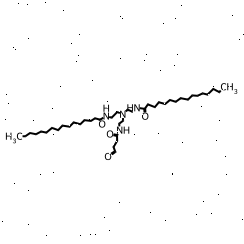 CCCCCCCCCCCCCCCC(=O)NCCN(CCNC(=O)CCC=O)CCNC(=O)CCCCCCCCCCCCCCC